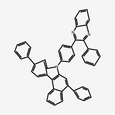 c1ccc(-c2ccc3c4c5ccccc5c(-c5ccccc5)cc4n(-c4ccc(-c5nc6ccccc6nc5-c5ccccc5)cc4)c3c2)cc1